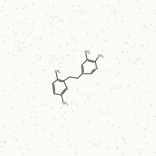 Cc1ccc(C)c(CCc2cnc(C)c(C)c2)c1